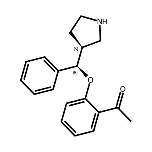 CC(=O)c1ccccc1O[C@@H](c1ccccc1)[C@H]1CCNC1